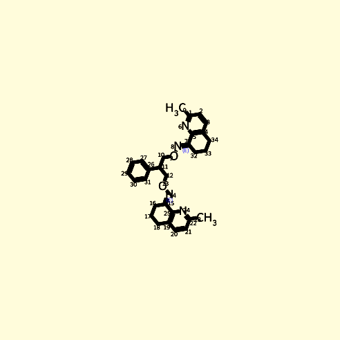 Cc1ccc2c(n1)/C(=N/OCC(CO/N=C1\CCCc3ccc(C)nc31)c1ccccc1)CCC2